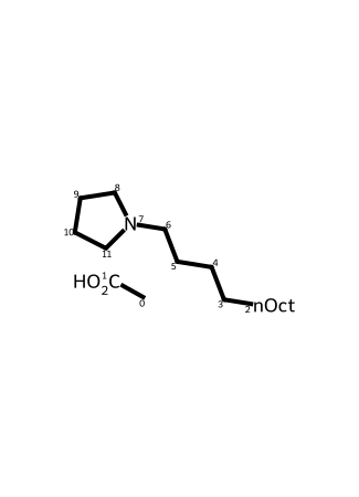 CC(=O)O.CCCCCCCCCCCCN1CCCC1